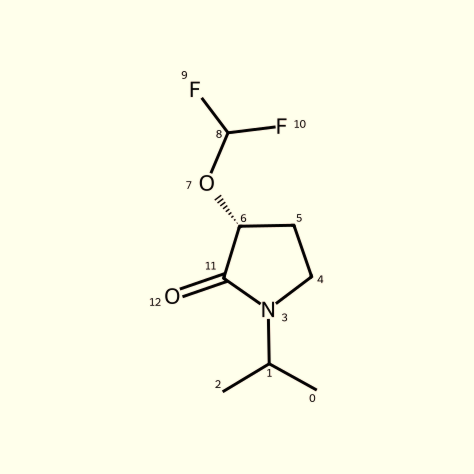 CC(C)N1CC[C@@H](OC(F)F)C1=O